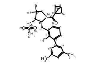 Cc1cc(C)nc(-c2cccc(C[C@H]3[C@@H](NS(C)(=O)=O)C(F)(F)CN3C(=O)C34CC(C3)C4)c2F)c1